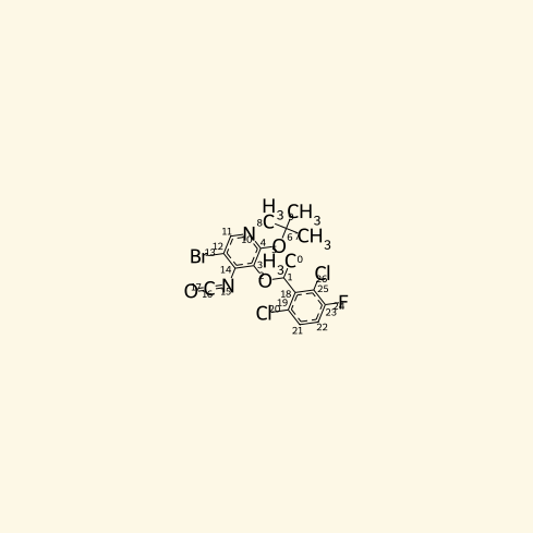 CC(Oc1c(OC(C)(C)C)ncc(Br)c1N=C=O)c1c(Cl)ccc(F)c1Cl